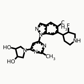 Cc1nc(N2CC(O)C(O)C2)cc(-n2ncc3cc(C)c(C4CCNCC4F)cc32)n1